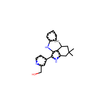 CC1(C)Cc2[nH]c(-c3ccnc(CO)c3)c(Nc3ccccc3)c2C(C=O)C1